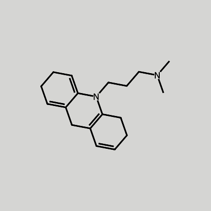 CN(C)CCCN1C2=CCCC=C2CC2=C1CCC=C2